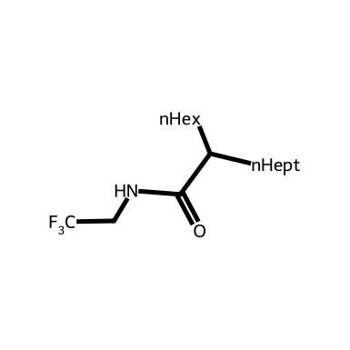 CCCCCCCC(CCCCCC)C(=O)NCC(F)(F)F